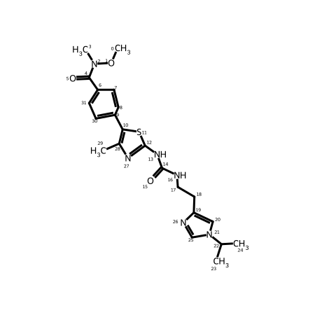 CON(C)C(=O)c1ccc(-c2sc(NC(=O)NCCc3cn(C(C)C)cn3)nc2C)cc1